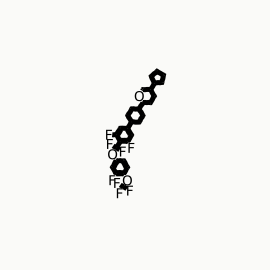 Fc1cc(OC(F)(F)c2c(F)cc(C3CCC(C4CCC(C5CCCC5)CO4)CC3)cc2F)ccc1OC(F)(F)F